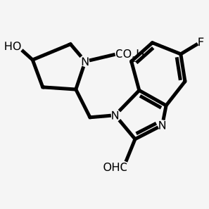 O=Cc1nc2cc(F)ccc2n1CC1CC(O)CN1C(=O)O